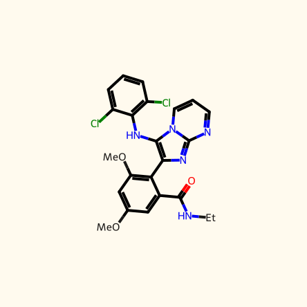 CCNC(=O)c1cc(OC)cc(OC)c1-c1nc2ncccn2c1Nc1c(Cl)cccc1Cl